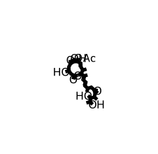 CC(=O)OC1/C=C/C(C)C(/C(C)=C/C=C/C(C)CC2OC2C(C)C(O)C(C)O)OC(=O)CC(O)CC2OC12O